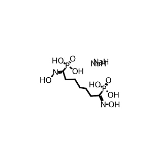 O=P(O)(O)/C(CCCCC/C(=N\O)P(=O)(O)O)=N\O.[NaH].[NaH]